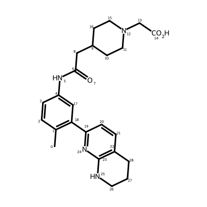 Cc1ccc(NC(=O)CC2CCN(CC(=O)O)CC2)cc1-c1ccc2c(n1)NCCC2